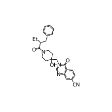 CCC(Cc1ccccc1)C(=O)N1CCC(O)(Cn2cnc3cc(C#N)ccc3c2=O)CC1